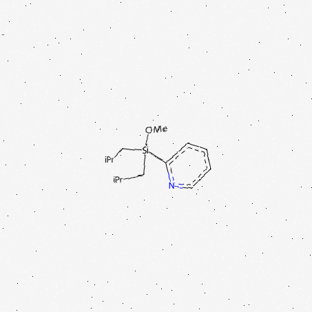 CO[Si](CC(C)C)(CC(C)C)c1ccccn1